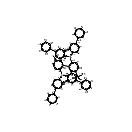 Cc1ccc(-n2c3ccc(-c4ccccc4)cc3c3cc(-c4ccccc4)ccc32)c(-c2cc(C(F)(F)F)ccc2-n2c3ccc(-c4ccccc4)cc3c3cc(-c4ccccc4)ccc32)c1